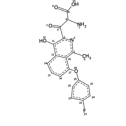 Cc1nc(C(=O)C(N)C(=O)O)c(O)c2cccc(Oc3ccc(F)cc3)c12